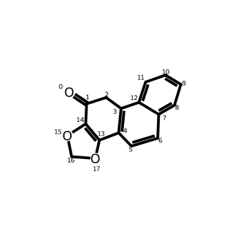 O=C1Cc2c(ccc3ccccc23)C2=C1OCO2